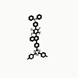 CC1=CCC(c2nc(C3=CCC(C)C=C3)nc(-c3ccc(-c4ccc(C5=C(F)C(F)C(c6ccc(P(c7ccccc7)c7ccccc7)cc6)C(F)=C5F)c5ccccc45)cc3)n2)CC1